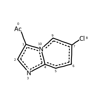 CC(=O)c1cnc2ccc(Cl)cn12